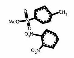 COS(=O)(=O)c1ccc(C)cc1.O=[N+]([O-])c1ccccc1[N+](=O)[O-]